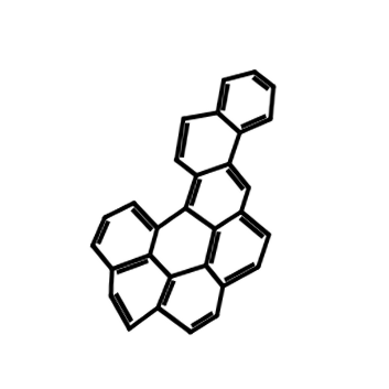 c1ccc2c(c1)ccc1c2cc2ccc3ccc4ccc5cccc6c5c4c3c2c16